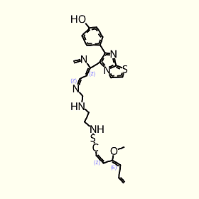 C=C/C=C(\C=C/CSNCCNC/N=C\C=C(/N=C)c1c(-c2ccc(O)cc2)nc2sccn12)OC